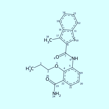 CCCOc1c(NC(=O)c2sc3ccccc3c2C)cccc1C(N)=O